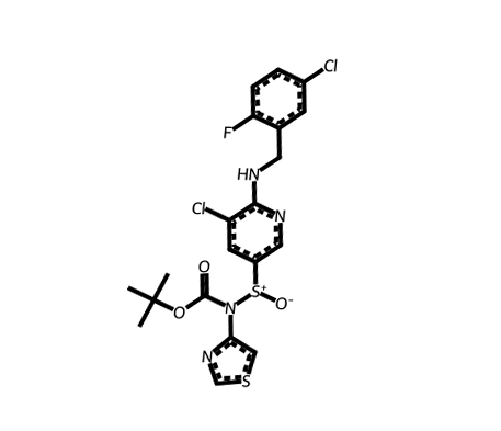 CC(C)(C)OC(=O)N(c1cscn1)[S+]([O-])c1cnc(NCc2cc(Cl)ccc2F)c(Cl)c1